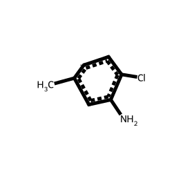 Cc1[c]cc(Cl)c(N)c1